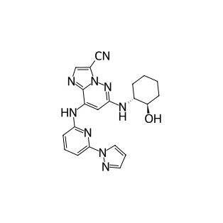 N#Cc1cnc2c(Nc3cccc(-n4cccn4)n3)cc(N[C@@H]3CCCC[C@H]3O)nn12